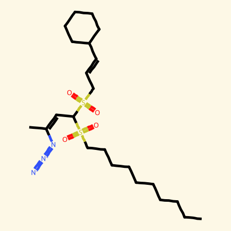 CCCCCCCCCCS(=O)(=O)C(C=C(C)N=[N+]=[N-])S(=O)(=O)CC=CC1CCCCC1